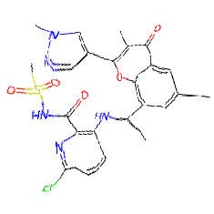 Cc1cc(C(C)Nc2ccc(Cl)nc2C(=O)NS(C)(=O)=O)c2oc(-c3cnn(C)c3)c(C)c(=O)c2c1